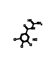 Cl.N=C(N)NC(=O)c1cc(Cl)c(Cl)c(Cl)c1